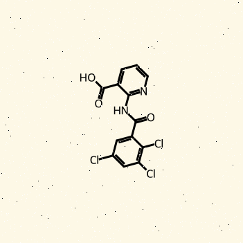 O=C(O)c1cccnc1NC(=O)c1cc(Cl)cc(Cl)c1Cl